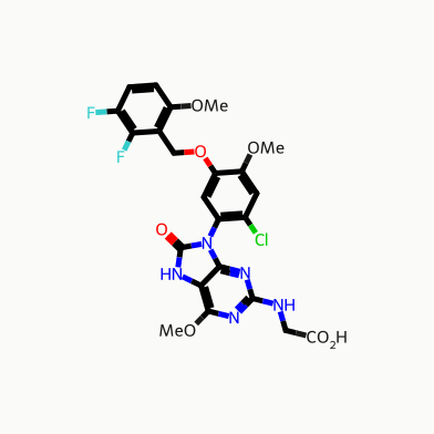 COc1cc(Cl)c(-n2c(=O)[nH]c3c(OC)nc(NCC(=O)O)nc32)cc1OCc1c(OC)ccc(F)c1F